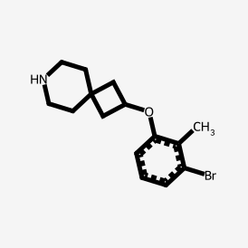 Cc1c(Br)cccc1OC1CC2(CCNCC2)C1